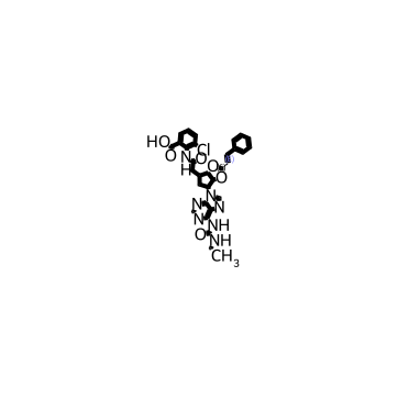 CCNC(=O)Nc1ncnc2c1ncn2C1CC(CC(=O)Nc2c(Cl)cccc2C(=O)O)C2O[C@H](/C=C/c3ccccc3)OC21